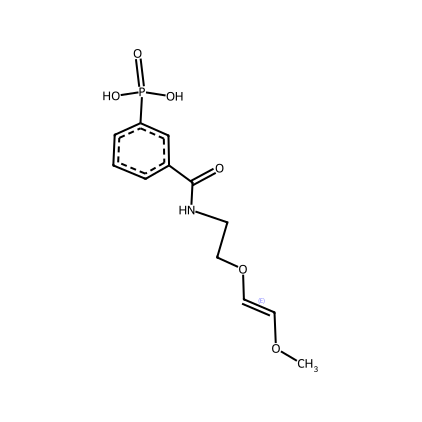 CO/C=C/OCCNC(=O)c1cccc(P(=O)(O)O)c1